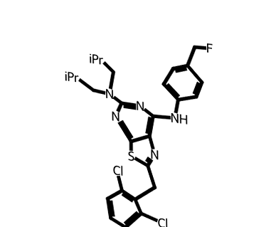 CC(C)CN(CC(C)C)c1nc(Nc2ccc(CF)cc2)c2nc(Cc3c(Cl)cccc3Cl)sc2n1